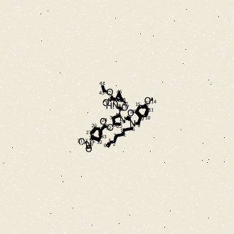 C=CCCCCCN(Cc1ccc(OC)cc1)C(=O)N1C[C@@H](OC(=O)c2ccc([N+](=O)[O-])cc2)C[C@H]1C(=O)N[C@]1(C(=O)OCC)C[C@H]1C